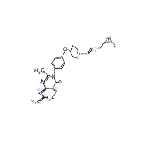 C=C/C=c1/nc(C)n(-c2ccc(OC3CCN(/C=C/CCC)CC3)cc2)c(=O)/c1=C/C